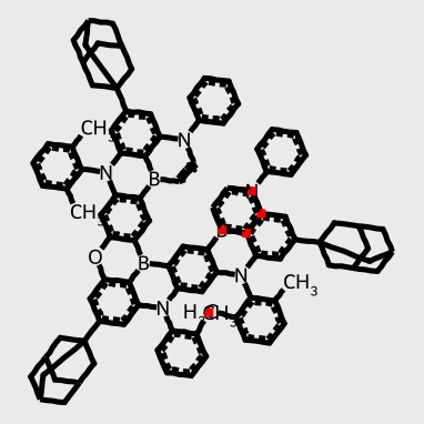 Cc1ccccc1N1c2cc3c(cc2B2c4cc5c(cc4Oc4cc(C67CC8CC(CC(C8)C6)C7)cc1c42)N(c1c(C)cccc1C)c1cc(C24CC6CC(CC(C6)C2)C4)cc2c1B5c1ccccc1N2c1ccccc1)B1c2ccccc2N(c2ccccc2)c2cc(C45CC6CC(CC(C6)C4)C5)cc(c21)N3c1c(C)cccc1C